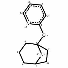 c1ccc(OC23CCCC(CC2)N3)nc1